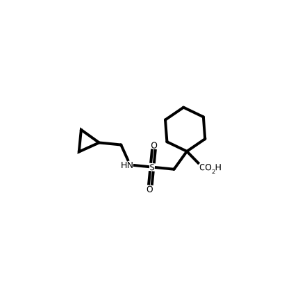 O=C(O)C1(CS(=O)(=O)NCC2CC2)CCCCC1